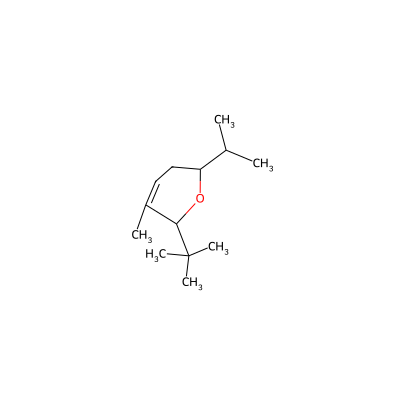 CC1=CCC(C(C)C)OC1C(C)(C)C